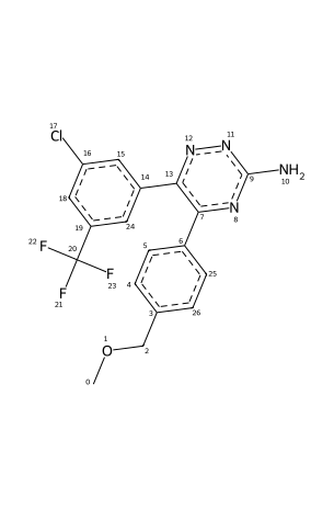 COCc1ccc(-c2nc(N)nnc2-c2cc(Cl)cc(C(F)(F)F)c2)cc1